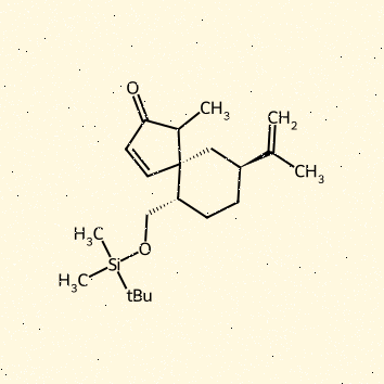 C=C(C)[C@H]1CC[C@H](CO[Si](C)(C)C(C)(C)C)[C@]2(C=CC(=O)C2C)C1